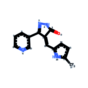 O=C1NN=C(c2cccnc2)/C1=C/c1ccc(C(F)(F)F)[nH]1